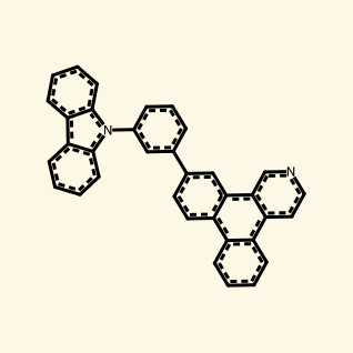 c1cc(-c2ccc3c4ccccc4c4ccncc4c3c2)cc(-n2c3ccccc3c3ccccc32)c1